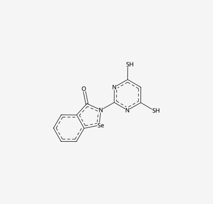 O=c1c2ccccc2[se]n1-c1nc(S)cc(S)n1